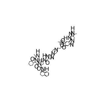 CNC(C)C(=O)NC(C(=O)N1CC(NC(=O)c2cnc(N3CCN(CCCOc4cc5ncnc(Nc6n[nH]c(C)c6C)c5cc4S(=O)(=O)C(C)(C)C)CC3)cn2)CC1C(=O)N[C@@H]1CCCc2ccccc21)C1CCCCC1